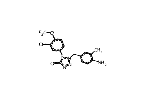 Cc1cc(Cn2nnc(=O)n2-c2ccc(OC(F)(F)F)c(Cl)c2)ccc1N